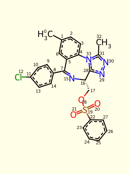 Cc1ccc2c(c1)C(c1ccc(Cl)cc1)=N[C@@H](COS(=O)(=O)c1ccccc1)c1nnc(C)n1-2